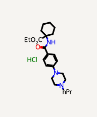 CCCN1CCN(c2ccc(C(=O)NC3(C(=O)OCC)CCCCC3)cc2)CC1.Cl